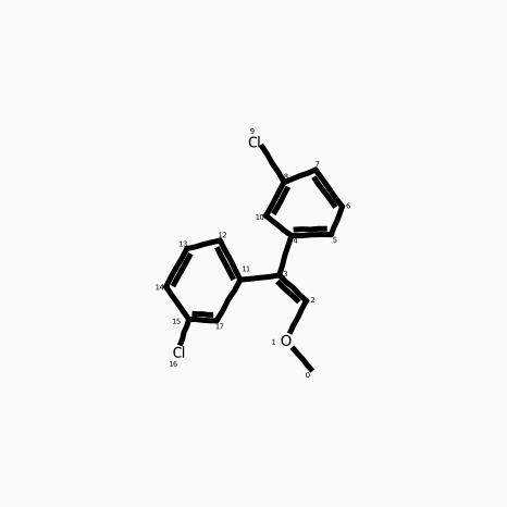 COC=C(c1cccc(Cl)c1)c1cccc(Cl)c1